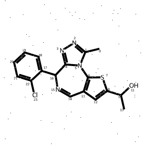 Cc1nnc2n1-c1sc(C(C)O)cc1C=NC2c1ccccc1Cl